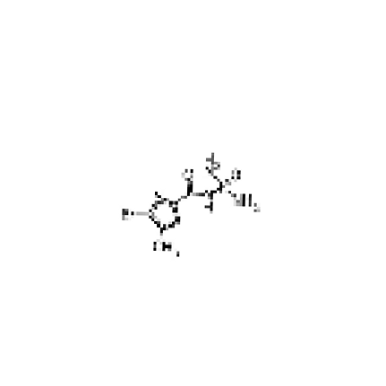 Cc1cc(C(=O)NP(N)(N)=O)sc1Br